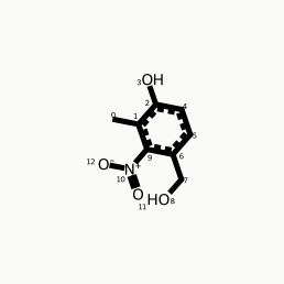 Cc1c(O)ccc(CO)c1[N+](=O)[O-]